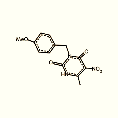 COc1ccc(Cn2c(=O)[nH]c(C)c([N+](=O)[O-])c2=O)cc1